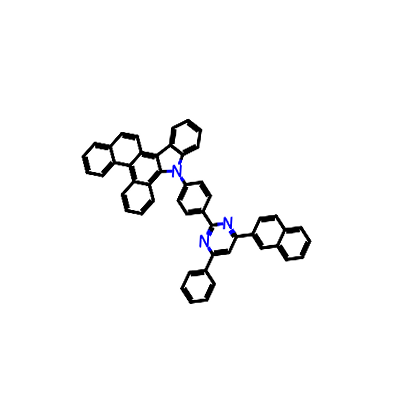 c1ccc(-c2cc(-c3ccc4ccccc4c3)nc(-c3ccc(-n4c5ccccc5c5c6ccc7ccccc7c6c6ccccc6c54)cc3)n2)cc1